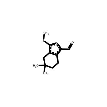 CSc1sc([C]=O)c2c1CC(C)(C)CC2